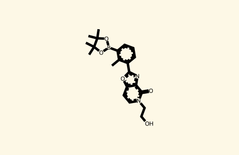 Cc1c(B2OC(C)(C)C(C)(C)O2)cccc1-c1nc2c(=O)n(CCO)ccc2o1